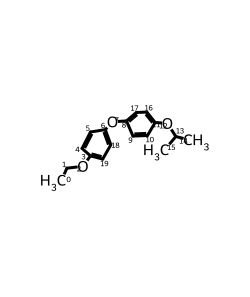 CCOc1ccc(Oc2ccc(OC(C)C)cc2)cc1